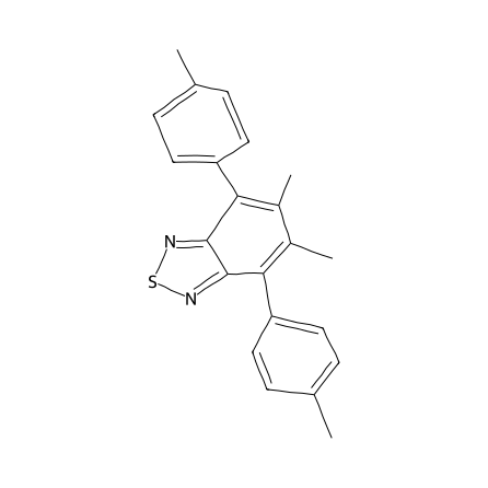 Cc1ccc(-c2c(C)c(C)c(-c3ccc(C)cc3)c3nsnc23)cc1